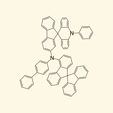 c1ccc(-c2ccc(N(c3ccc4c(c3)C3(c5ccccc5-4)c4ccccc4N(c4ccccc4)c4ccccc43)c3cccc4c3-c3ccccc3C43c4ccccc4-c4ccccc43)cc2)cc1